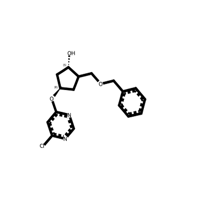 O[C@H]1C[C@H](Oc2cc(Cl)ncn2)CC1COCc1ccccc1